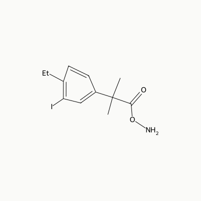 CCc1ccc(C(C)(C)C(=O)ON)cc1I